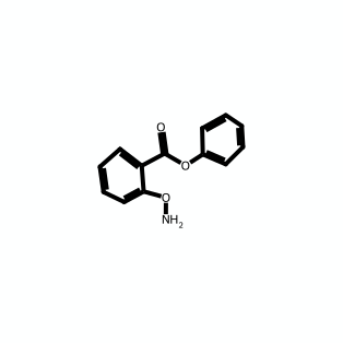 NOc1ccccc1C(=O)Oc1ccccc1